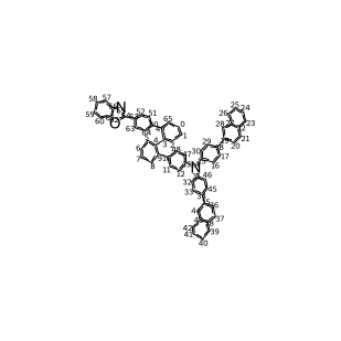 c1ccc(-c2ccccc2-c2ccc(N(c3ccc(-c4ccc5ccccc5c4)cc3)c3ccc(-c4ccc5ccccc5c4)cc3)cc2)c(-c2ccc(-c3nc4ccccc4o3)cc2)c1